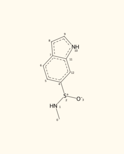 CN[S+]([O-])c1ccc2cc[nH]c2c1